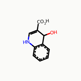 O=C(O)C1=CNc2ccccc2C1O